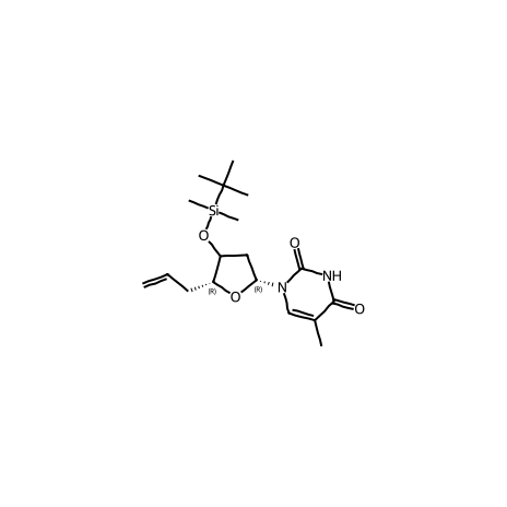 C=CC[C@H]1O[C@@H](n2cc(C)c(=O)[nH]c2=O)CC1O[Si](C)(C)C(C)(C)C